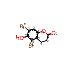 O=C1CCc2c(cc(Br)c(O)c2Br)O1